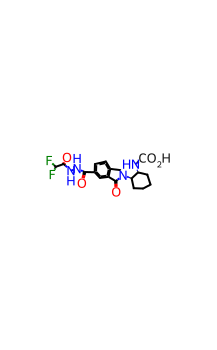 O=C(O)N[C@@H]1CCCC[C@H]1N1Cc2ccc(C(=O)NNC(=O)C(F)F)cc2C1=O